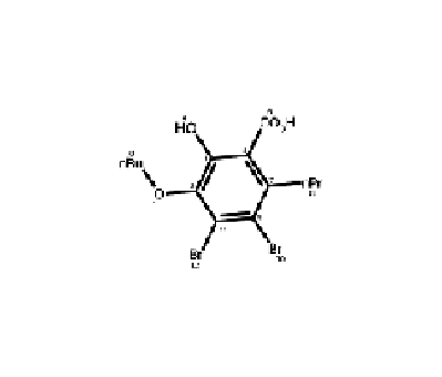 CCCCOc1c(O)c(C(=O)O)c(CCC)c(Br)c1Br